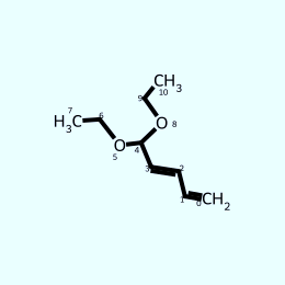 C=CC=CC(OCC)OCC